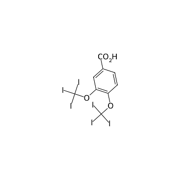 O=C(O)c1ccc(OC(I)(I)I)c(OC(I)(I)I)c1